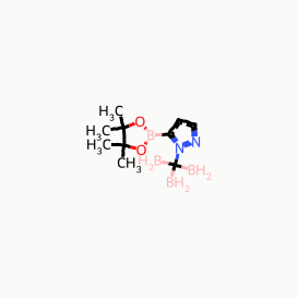 BC(B)(B)n1nccc1B1OC(C)(C)C(C)(C)O1